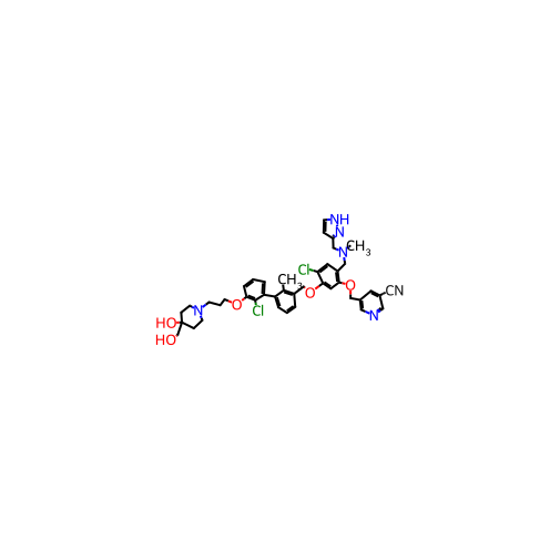 Cc1c(COc2cc(OCc3cncc(C#N)c3)c(CN(C)Cc3cc[nH]n3)cc2Cl)cccc1-c1cccc(OCCCN2CCC(O)(CO)CC2)c1Cl